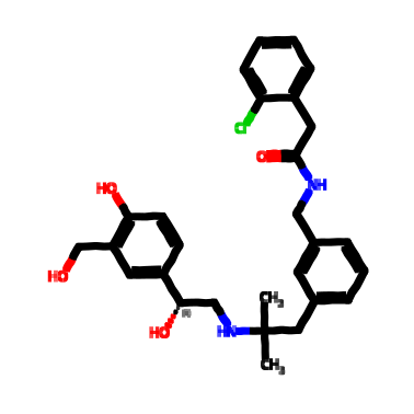 CC(C)(Cc1cccc(CNC(=O)Cc2ccccc2Cl)c1)NC[C@H](O)c1ccc(O)c(CO)c1